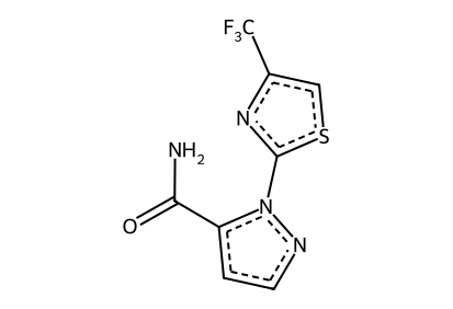 NC(=O)c1ccnn1-c1nc(C(F)(F)F)cs1